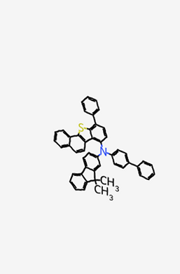 CC1(C)c2ccccc2-c2ccc(N(c3ccc(-c4ccccc4)cc3)c3ccc(-c4ccccc4)c4sc5c6ccccc6ccc5c34)cc21